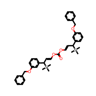 C[Si](C)(C)C(C=COC(=O)OC=CC(c1cccc(OCc2ccccc2)c1)[Si](C)(C)C)c1cccc(OCc2ccccc2)c1